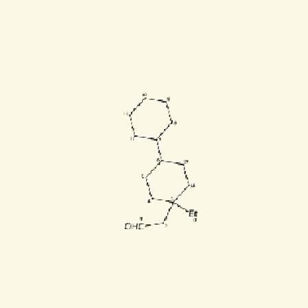 CCC1(CC=O)CCC(C2CCCCC2)CC1